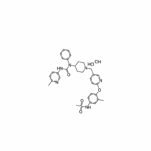 Cc1ccc(NC(=O)N(c2ccccc2)C2CCN(Cc3ccc(Oc4ccc(NS(C)(=O)=O)cc4C)nc3)CC2)cn1.Cl.Cl